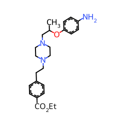 CCOC(=O)c1ccc(CCN2CCN(CC(C)Oc3ccc(N)cc3)CC2)cc1